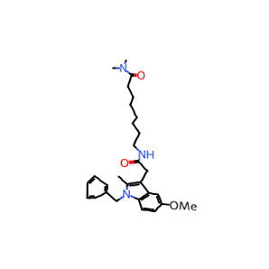 COc1ccc2c(c1)c(CC(=O)NCCCCCCCC(=O)N(C)C)c(C)n2Cc1ccccc1